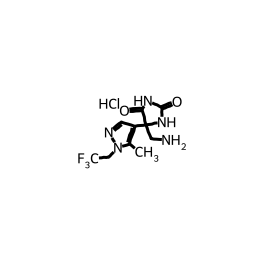 Cc1c(C2(CN)NC(=O)NC2=O)cnn1CC(F)(F)F.Cl